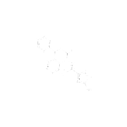 Nc1nc(C(=NOC(C=O)OC(c2ccccc2)c2ccccc2)C(=O)O)cs1